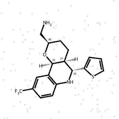 NC[C@H]1CC[C@@H]2[C@H](O1)c1cc(C(F)(F)F)ccc1N[C@H]2c1cccs1